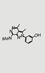 CNc1nnc(C)c2c(C)n(-c3cccc(O)c3)nc12